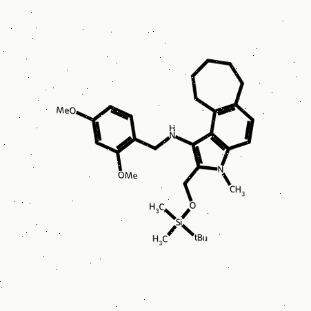 COc1ccc(CNc2c(CO[Si](C)(C)C(C)(C)C)n(C)c3ccc4c(c23)CCCCC4)c(OC)c1